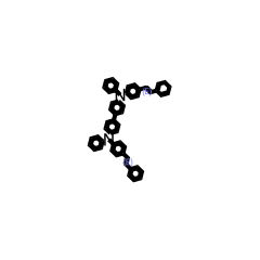 C1=CC(/C=C/c2ccc(N(c3ccccc3)c3ccc(-c4ccc(N(c5ccccc5)c5ccc(/C=C/c6ccccc6)cc5)cc4)cc3)cc2)=CCC1